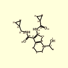 CC(O)N1CCCc2c1sc(NC(=O)C1CC1)c2C(=O)NCC1CC1